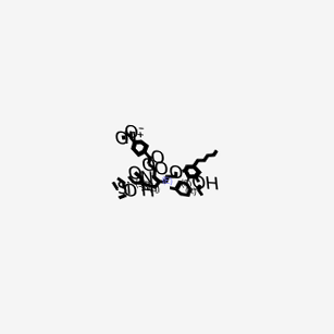 C=C(C)[C@@H]1CCC(C)=C[C@H]1c1c(O)cc(CCCCC)cc1OC/C=C/C1=C(C(=O)OC(=O)c2ccc([N+](=O)[O-])cc2)N2C(=O)[C@](C)(C(C)O[Si](CC)(CC)CC)[C@H]2[C@H]1C